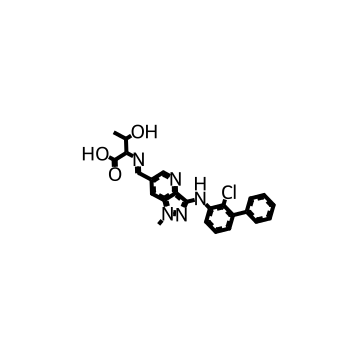 CC(O)C(N=Cc1cnc2c(Nc3cccc(-c4ccccc4)c3Cl)nn(C)c2c1)C(=O)O